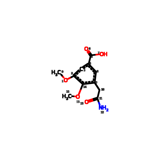 COc1cc(C(=O)O)cc(CC(N)=O)c1OC